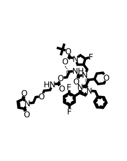 C[C@@H](COC(=O)NCCOCCN1C(=O)C=CC1=O)NC(=O)N(CC1CN(C(=O)OC(C)(C)C)CC1F)[C@@H](c1nc(-c2cc(F)ccc2F)cn1Cc1ccccc1)C1CCOCC1